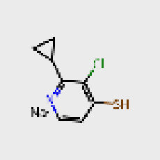 Sc1ccnc(C2CC2)c1Cl.[Na]